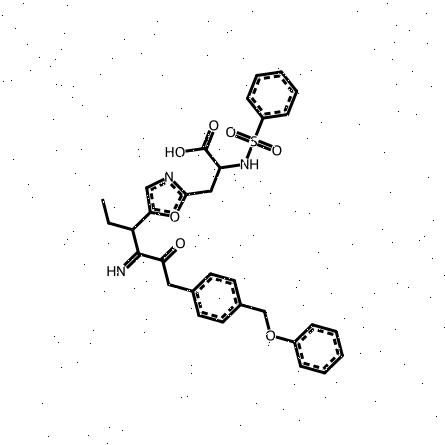 CCC(C(=N)C(=O)Cc1ccc(COc2ccccc2)cc1)c1cnc(CC(NS(=O)(=O)c2ccccc2)C(=O)O)o1